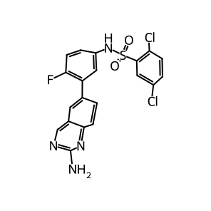 Nc1ncc2cc(-c3cc(NS(=O)(=O)c4cc(Cl)ccc4Cl)ccc3F)ccc2n1